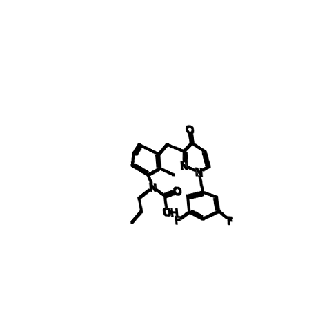 CCCN(C(=O)O)c1cccc(Cc2nn(-c3cc(F)cc(F)c3)ccc2=O)c1C